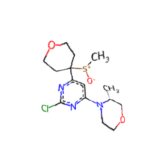 C[C@@H]1COCCN1c1cc(C2([S+](C)[O-])CCOCC2)nc(Cl)n1